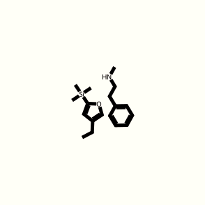 CCc1coc([Si](C)(C)C)c1.CNCCc1ccccc1